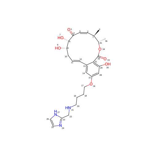 C[C@@H]1/C=C\C(=O)[C@@H](O)[C@@H](O)C/C=C/c2cc(OCCCCNCc3ncc[nH]3)cc(O)c2C(=O)O[C@H]1C